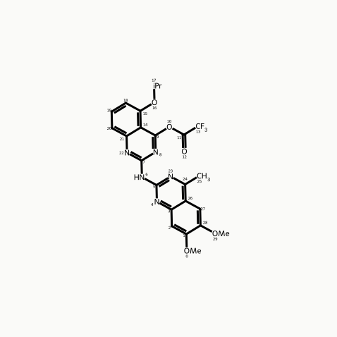 COc1cc2nc(Nc3nc(OC(=O)C(F)(F)F)c4c(OC(C)C)cccc4n3)nc(C)c2cc1OC